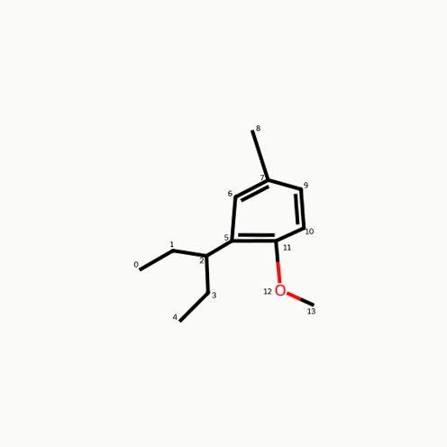 CCC(CC)c1cc(C)ccc1OC